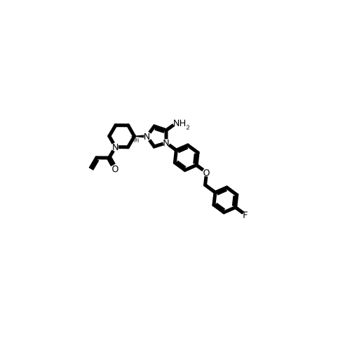 C=CC(=O)N1CCC[C@@H](N2C=C(N)N(c3ccc(OCc4ccc(F)cc4)cc3)C2)C1